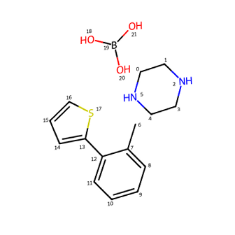 C1CNCCN1.Cc1ccccc1-c1cccs1.OB(O)O